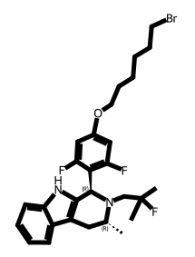 C[C@@H]1Cc2c([nH]c3ccccc23)[C@@H](c2c(F)cc(OCCCCCCBr)cc2F)N1CC(C)(C)F